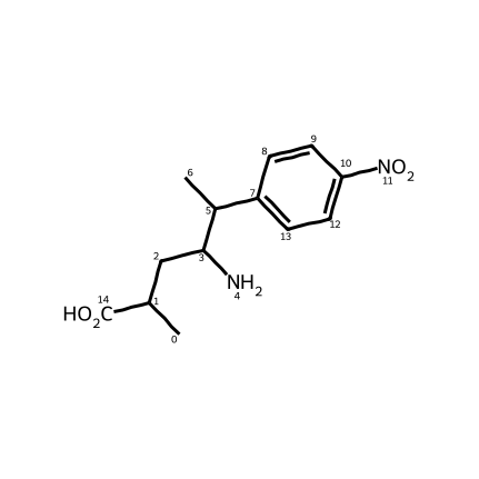 CC(CC(N)C(C)c1ccc([N+](=O)[O-])cc1)C(=O)O